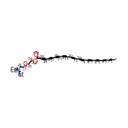 CC#CC#CC#CC#CC#CC#CC#CC#CC#CC#CC(=O)OCCOCCN(CC)CC